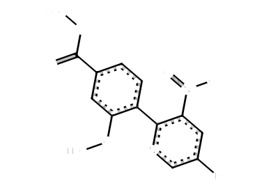 COC(=O)c1ccc(-c2ncc(Br)cc2[N+](=O)[O-])c(OC)c1